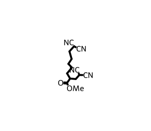 COC(=O)C(CCCCCC(C#N)C#N)CC(C#N)C#N